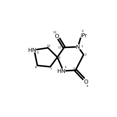 CC(C)N1CC(=O)NC2(CCNC2)C1=O